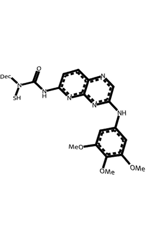 CCCCCCCCCCN(S)C(=O)Nc1ccc2ncc(Nc3cc(OC)c(OC)c(OC)c3)nc2n1